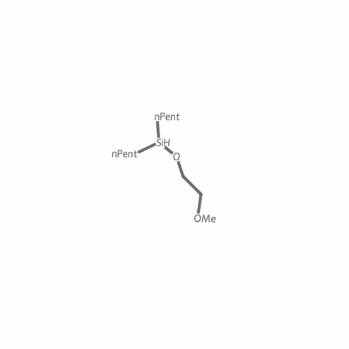 CCCCC[SiH](CCCCC)OCCOC